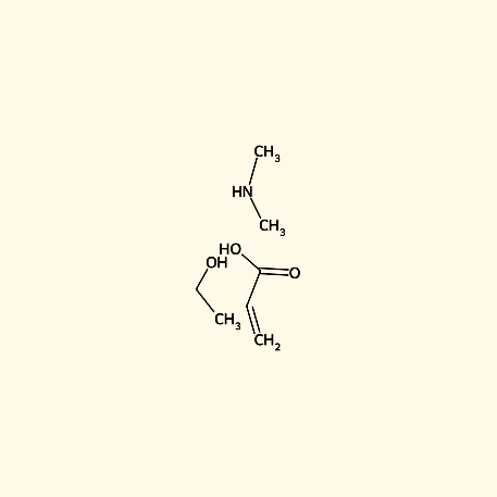 C=CC(=O)O.CCO.CNC